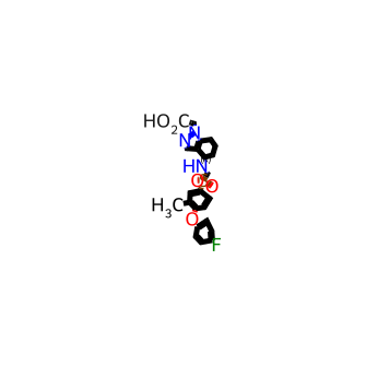 Cc1cc(S(=O)(=O)CN[C@@H]2CCCc3c2cnn3CC(=O)O)ccc1Oc1ccc(F)cc1